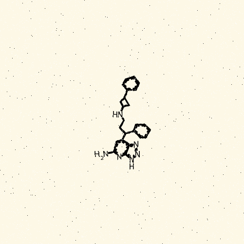 Nc1cc(C(CCNC2CC(c3ccccc3)C2)c2ccccc2)c2nn[nH]c2n1